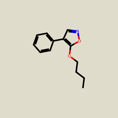 CCCCOc1on[c]c1-c1ccccc1